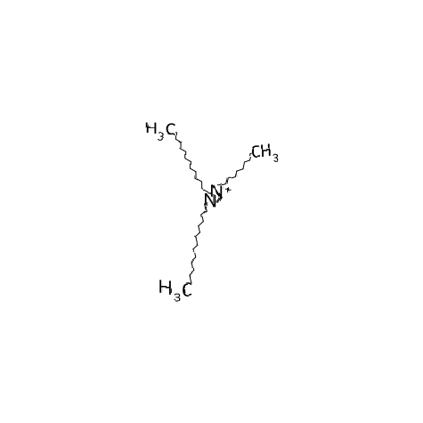 CCCCCCCCCCCCCCCn1cc[n+](CCCCCCCCCC)c1CCCCCCCCCCCCC